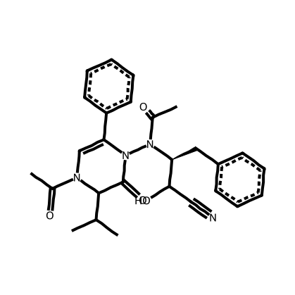 CC(=O)N1C=C(c2ccccc2)N(N(C(C)=O)[C@@H](Cc2ccccc2)C(O)C#N)C(=O)C1C(C)C